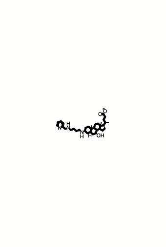 COC(=O)CC[C@@H](C)[C@H]1CCC2C3C(CC[C@@]21C)[C@@]1(C)CC[C@@H](NCCCCNCc2ccccn2)C[C@H]1C[C@H]3O